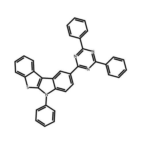 c1ccc(-c2nc(-c3ccccc3)nc(-c3ccc4c(c3)c3c5ccccc5sc3n4-c3ccccc3)n2)cc1